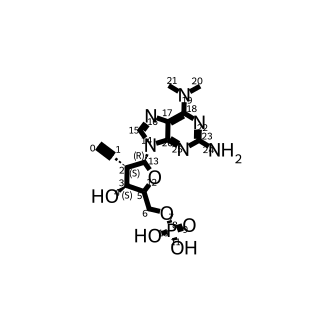 C#C[C@H]1[C@H](O)C(COP(=O)(O)O)O[C@H]1n1cnc2c(N(C)C)nc(N)nc21